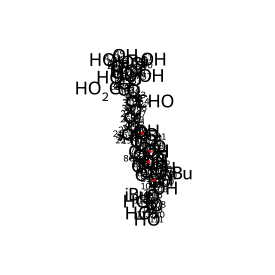 CC[C@H](C)[C@H](C[C@H](O)CC(=O)O[C@@H]1C(C)O[C@@H](OC(=O)[C@]23CCC(C)(C)CC2C2=CCC4[C@@]5(C)CC[C@H](O[C@@H]6OC(C(=O)O)[C@H](O)C(O[C@@H]7OC[C@@H](O)C(O)C7O)C6OC(O)[C@@H](O)C(O)CO)[C@@](C)(C=O)C5CC[C@@]4(C)[C@]2(C)C[C@H]3O)C(O[C@@H]2OC(C)[C@H](O[C@H]3OCC(O)[C@H](O)C3O)C(O)C2O)C1O)OC(=O)C[C@@H](O)C[C@H](O[C@@H]1O[C@@H](CO)C(O)C1O)[C@@H](C)CC